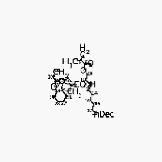 C=C(C)C(=O)O.C=C(C)C(=O)OCCCCCCCCCCCCCCCCCC.C=CC(=O)OC1CCCCC1